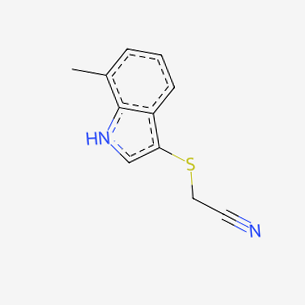 Cc1cccc2c(SCC#N)c[nH]c12